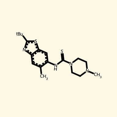 Cc1cc2nc(C(C)(C)C)sc2cc1NC(=S)N1CCN(C)CC1